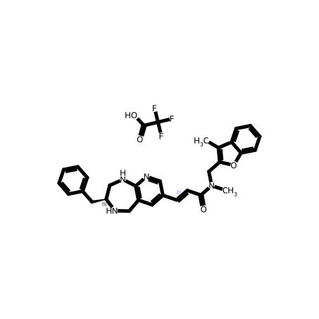 Cc1c(CN(C)C(=O)/C=C/c2cnc3c(c2)CN[C@@H](Cc2ccccc2)CN3)oc2ccccc12.O=C(O)C(F)(F)F